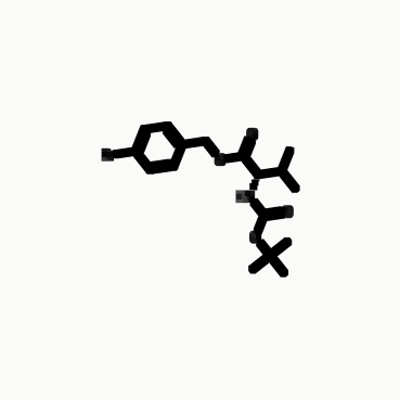 CC(C)[C@H](NC(=O)OC(C)(C)C)C(=O)OCc1ccc(Br)cc1